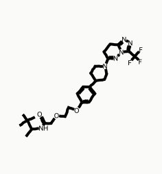 CC(NC(=O)COCCOc1ccc(C2CCN(C3=Nn4c(nnc4C(F)(F)F)CC3)CC2)cc1)C(C)(C)C